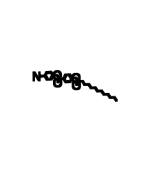 CCCCCCCCCCCCC(=O)Oc1ccc(C(=O)Oc2ccc(C#N)cc2)cc1